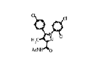 CC(=O)NC(=O)c1nn(-c2ccc(Cl)cc2Cl)c(-c2ccc(Cl)cc2)c1C